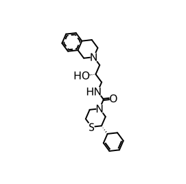 O=C(NC[C@H](O)CN1CCc2ccccc2C1)N1CCS[C@@H](C2C=CC=CC2)C1